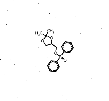 CC1(C)OCC(COP(=O)(c2ccccc2)c2ccccc2)O1